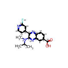 CC(C)N(C)c1nc2cc(C(=O)O)ccc2nc1-c1ccnc(F)c1